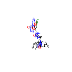 CC(C)c1cc(-c2cccc3cc(-c4ccc(C(=O)NCC#Cc5ccc(OC(F)F)c(NC6CCC(=O)NC6=O)c5)nc4)ncc23)cc2c1n(C)c(=O)n2C